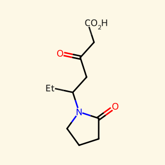 CCC(CC(=O)CC(=O)O)N1CCCC1=O